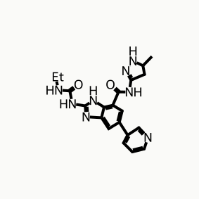 CCNC(=O)Nc1nc2cc(-c3cccnc3)cc(C(=O)NC3=NNC(C)C3)c2[nH]1